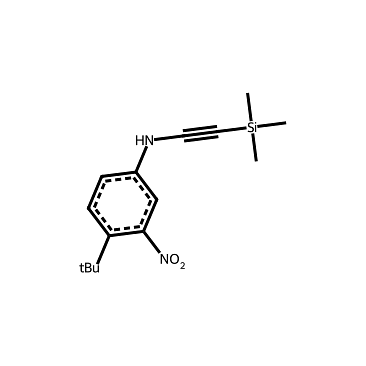 CC(C)(C)c1ccc(NC#C[Si](C)(C)C)cc1[N+](=O)[O-]